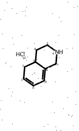 C1=CCC2CCNCC2=C1.Cl